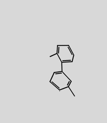 Cc1[c]ccc(-c2ccccc2C)c1